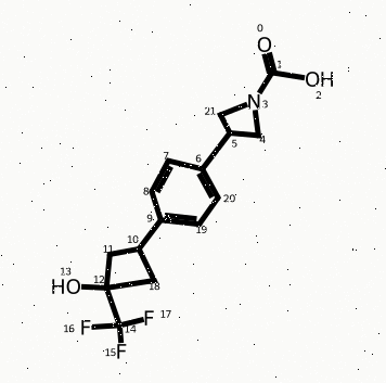 O=C(O)N1CC(c2ccc(C3CC(O)(C(F)(F)F)C3)cc2)C1